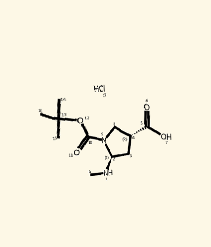 CN[C@@H]1C[C@@H](C(=O)O)CN1C(=O)OC(C)(C)C.Cl